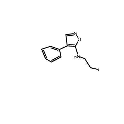 ICCNc1oncc1-c1ccccc1